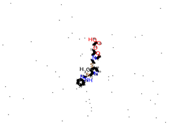 Cc1c(SCCN2CCOC(COCC(=O)O)C2)ccnc1CSc1nc2ccccc2[nH]1